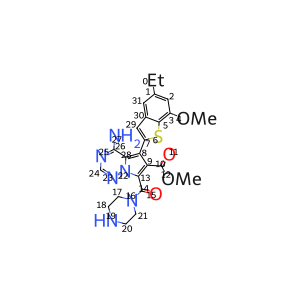 CCc1cc(OC)c2sc(-c3c(C(=O)OC)c(C(=O)N4CCNCC4)n4ncnc(N)c34)cc2c1